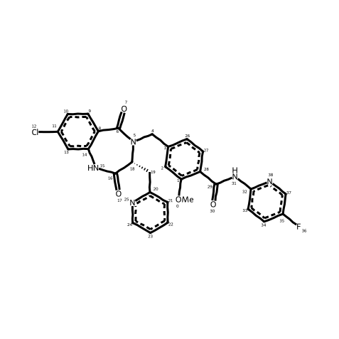 COc1cc(CN2C(=O)c3ccc(Cl)cc3NC(=O)[C@H]2Cc2ccccn2)ccc1C(=O)Nc1ccc(F)cn1